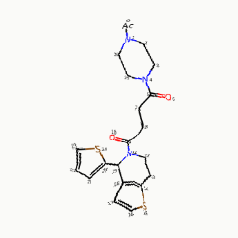 CC(=O)N1CCN(C(=O)CCC(=O)N2CCc3sccc3C2c2cccs2)CC1